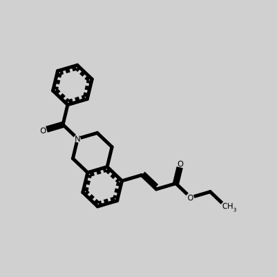 CCOC(=O)/C=C/c1cccc2c1CCN(C(=O)c1ccccc1)C2